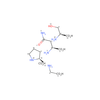 NC(=O)C[C@H](N)C(=O)O.NCC(=O)O.N[C@@H](CO)C(=O)O.O=C(O)[C@@H]1CCCN1